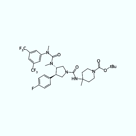 CN(C(=O)N(C)[C@@H]1CN(C(=O)NC2(C)CCN(C(=O)OC(C)(C)C)CC2)C[C@H]1c1ccc(F)cc1)c1cc(C(F)(F)F)cc(C(F)(F)F)c1